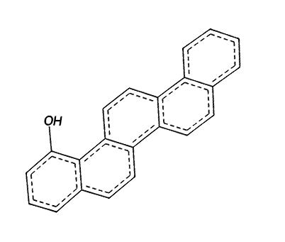 Oc1cccc2ccc3c4ccc5ccccc5c4ccc3c12